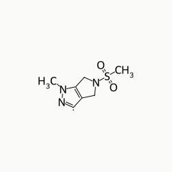 Cn1n[c]c2c1CN(S(C)(=O)=O)C2